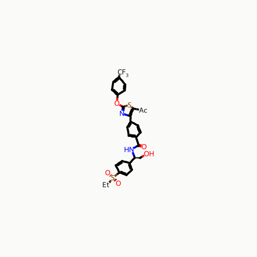 CCS(=O)(=O)c1ccc([C@H](CO)NC(=O)c2ccc(-c3nc(Oc4ccc(C(F)(F)F)cc4)sc3C(C)=O)cc2)cc1